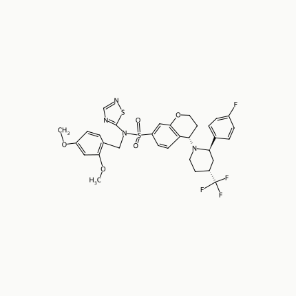 COc1ccc(CN(c2ncns2)S(=O)(=O)c2ccc3c(c2)OCC[C@@H]3N2CC[C@@H](C(F)(F)F)C[C@@H]2c2ccc(F)cc2)c(OC)c1